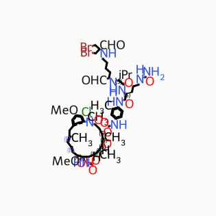 COc1cc2cc(c1Cl)N(C)C(=O)C[C@H](OC(=O)Nc1ccc(NC(=O)[C@H](CCCNC(N)=O)NC(=O)[C@@H](NC(C=O)CCCCNC(C=O)(CBr)CBr)C(C)C)c(C)c1)[C@]1(C)O[C@H]1[C@H](C)[C@@H]1C[C@@](O)(NC(=O)O1)[C@H](OC)/C=C/C=C(\C)C2